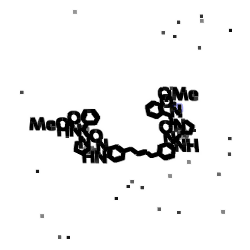 COO/C=N\C(C(=O)N1CCC[C@H]1c1nc2cc(CC=CCc3ccc4[nH]c([C@@H]5CCCN5C(=O)[C@H](NC(=O)OC)c5ccccc5)nc4c3)ccc2[nH]1)c1ccccc1